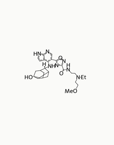 CCN(CCNC(=O)c1noc(-c2cnc3[nH]ccc3c2N[C@H]2C3CC4CC2C[C@@](O)(C4)C3)n1)CCOC